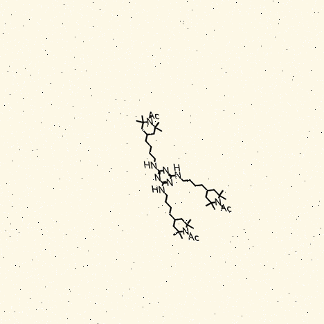 CC(=O)N1C(C)(C)CC(CCCCNc2nc(NCCCCC3CC(C)(C)N(C(C)=O)C(C)(C)C3)nc(NCCCCC3CC(C)(C)N(C(C)=O)C(C)(C)C3)n2)CC1(C)C